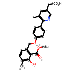 Cc1cc(CC(=O)O)cnc1-c1ccc(OCc2ccc(C(F)(F)F)c(O)c2C(=O)OC(C)(C)C)cc1